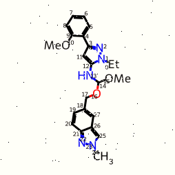 CCn1nc(-c2ccccc2OC)cc1NC(OC)OCc1ccc2nn(C)cc2c1